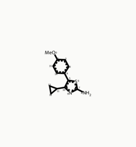 COc1ccc(-c2sc(N)nc2C2CC2)cc1